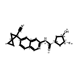 N#CC1(c2ccc3cnc(NC(=O)[C@@H]4C[C@@H](O)[C@H](F)C4)cc3c2)CC12CC2